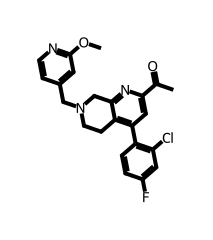 COc1cc(CN2CCc3c(-c4ccc(F)cc4Cl)cc(C(C)=O)nc3C2)ccn1